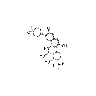 Cc1nc(N[C@H](C)c2cccc(C(F)(F)F)c2C)c2cc(N3CCS(=O)(=O)CC3)c(Cl)nc2n1